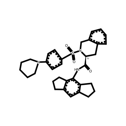 O=C(Nc1c2c(cc3c1CCC3)CCC2)[C@@H]1Cc2ccccc2CN1S(=O)(=O)c1ccc(N2CCCCC2)cc1